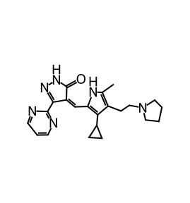 Cc1[nH]c(C=C2C(=O)NN=C2c2ncccn2)c(C2CC2)c1CCN1CCCC1